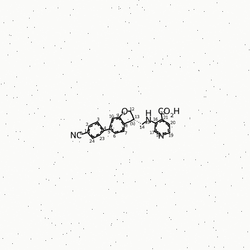 N#Cc1ccc(-c2ccc3c(c2)OC[C@@H]3CNc2cnccc2C(=O)O)cc1